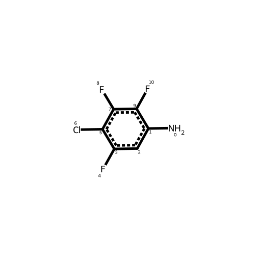 Nc1cc(F)c(Cl)c(F)c1F